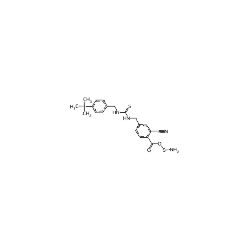 CC(C)(C)c1ccc(CNC(=S)NCc2ccc(C(=O)OSN)c(C#N)c2)cc1